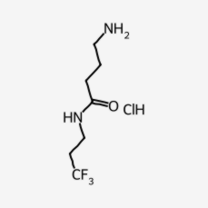 Cl.NCCCC(=O)NCCC(F)(F)F